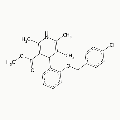 COC(=O)C1=C(C)NC(C)=C(C)C1c1ccccc1OCc1ccc(Cl)cc1